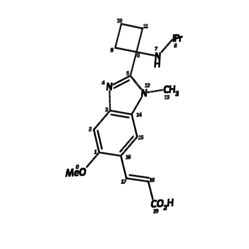 COc1cc2nc(C3(NC(C)C)CCC3)n(C)c2cc1/C=C/C(=O)O